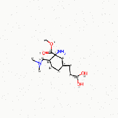 COC(=O)C1(N)CC(CCB(O)O)CCC1CN(C)C